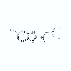 C/C=C(\CC)CN(C)c1nc2cc(Cl)ccc2o1